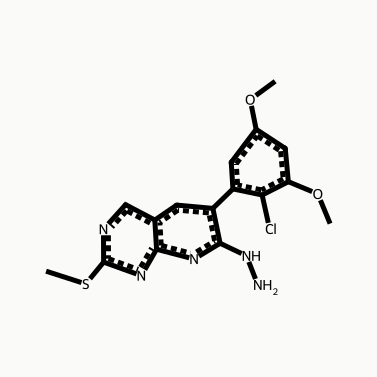 COc1cc(OC)c(Cl)c(-c2cc3cnc(SC)nc3nc2NN)c1